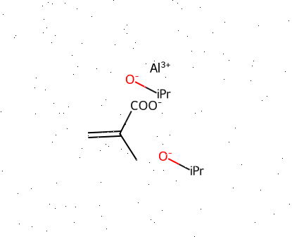 C=C(C)C(=O)[O-].CC(C)[O-].CC(C)[O-].[Al+3]